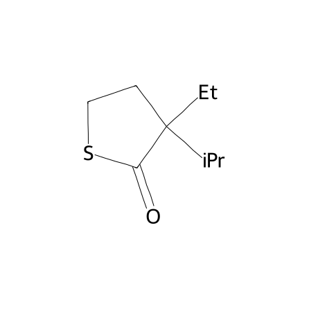 CCC1(C(C)C)CCSC1=O